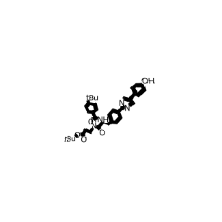 CC(C)(C)OC(=O)CCNC(=O)[C@H](Cc1ccc(-c2ncc(-c3ccc(O)cc3)cn2)cc1)NC(=O)c1ccc(C(C)(C)C)cc1